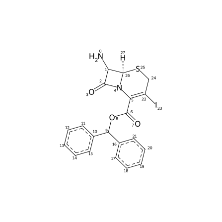 NC1C(=O)N2C(C(=O)OC(c3ccccc3)c3ccccc3)=C(I)CS[C@H]12